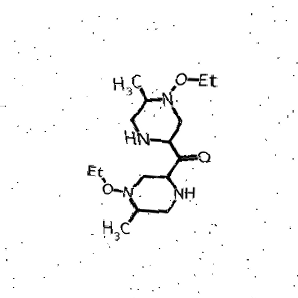 CCON1CC(C(=O)C2CN(OCC)C(C)CN2)NCC1C